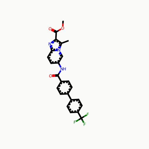 COC(=O)c1nc2ccc(NC(=O)c3ccc(-c4ccc(C(F)(F)F)cc4)cc3)cn2c1C